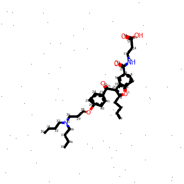 CCCCc1oc2ccc(C(=O)NCCC(=O)O)cc2c1C(=O)c1ccc(OCCCN(CCCC)CCCC)cc1